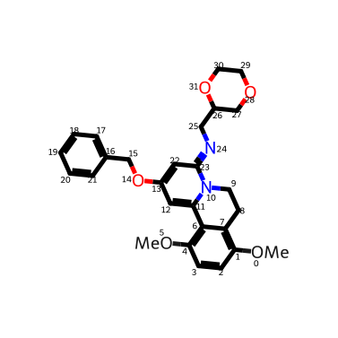 COc1ccc(OC)c2c1CCn1c-2cc(OCc2ccccc2)cc1=NCC1COCCO1